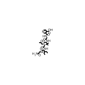 CCC(CC)C(NC(=O)CN(CC(C)=O)C(=O)C(NC(=O)CNC(=O)c1cnccc1C(=O)O)C(C)(C)C)C(=O)NCC(N)=O